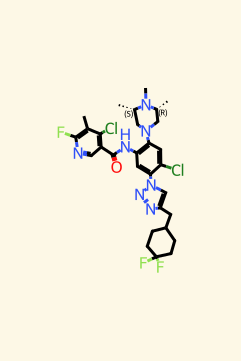 Cc1c(F)ncc(C(=O)Nc2cc(-n3cc(CC4CCC(F)(F)CC4)nn3)c(Cl)cc2N2C[C@@H](C)N(C)[C@@H](C)C2)c1Cl